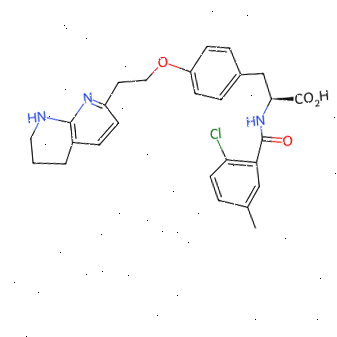 Cc1ccc(Cl)c(C(=O)N[C@@H](Cc2ccc(OCCc3ccc4c(n3)NCCC4)cc2)C(=O)O)c1